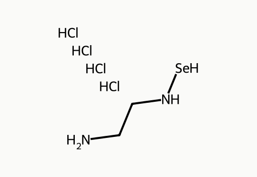 Cl.Cl.Cl.Cl.NCCN[SeH]